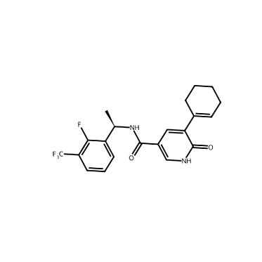 C[C@@H](NC(=O)c1c[nH]c(=O)c(C2=CCCCC2)c1)c1cccc(C(F)(F)F)c1F